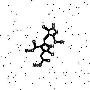 COC(=O)Cc1c(Cl)[nH]c(C=C2C(=O)NN=C2OC(C)C)c1C(=O)OC